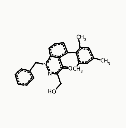 Cc1cc(C)c(-c2cccc3c2c(=O)c(CO)nn3Cc2ccccc2)c(C)c1